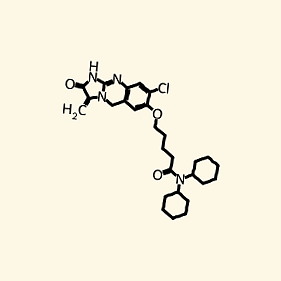 C=c1c(=O)[nH]c2n1Cc1cc(OCCCCC(=O)N(C3CCCCC3)C3CCCCC3)c(Cl)cc1N=2